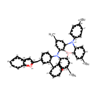 Cc1cc2c3c(c1)N(c1ccc(-c4cc5ccccc5o4)cc1-c1ccccc1)c1ccc(C(C)(C)C)cc1B3c1cc(C(C)(C)C)ccc1N2c1ccc(C(C)(C)C)cc1